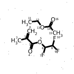 C=C(C)C(=O)OC(F)C(F)F.CCOC(C)=O